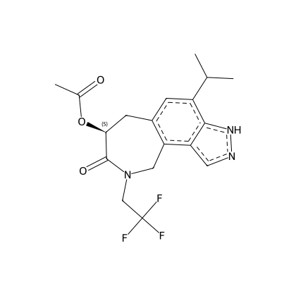 CC(=O)O[C@H]1Cc2cc(C(C)C)c3[nH]ncc3c2CN(CC(F)(F)F)C1=O